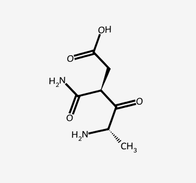 C[C@H](N)C(=O)[C@H](CC(=O)O)C(N)=O